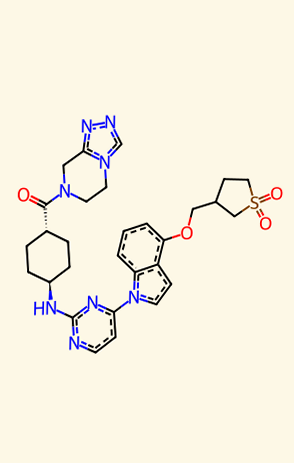 O=C([C@H]1CC[C@H](Nc2nccc(-n3ccc4c(OCC5CCS(=O)(=O)C5)cccc43)n2)CC1)N1CCn2cnnc2C1